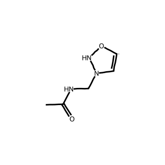 CC(=O)NCN1C=[C]ON1